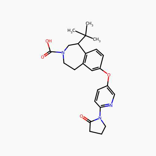 CC(C)(C)C1CN(C(=O)O)CCc2cc(Oc3ccc(N4CCCC4=O)nc3)ccc21